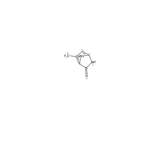 O=c1[nH]c2cc(C(F)(F)F)c1[nH]2